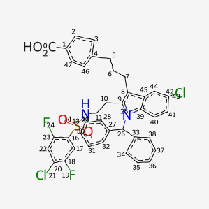 O=C(O)c1ccc(CCCc2c(CCNS(=O)(=O)c3cc(F)c(Cl)cc3F)n(C(c3ccccc3)c3ccccc3)c3ccc(Cl)cc23)cc1